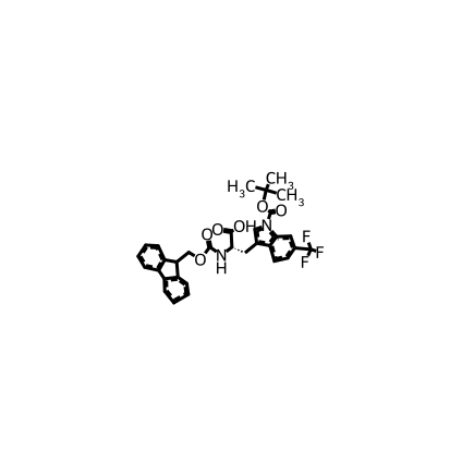 CC(C)(C)OC(=O)n1cc(C[C@H](NC(=O)OCC2c3ccccc3-c3ccccc32)C(=O)O)c2ccc(C(F)(F)F)cc21